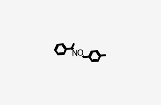 C/C(=N\OCc1ccc(C)cc1)c1ccccc1